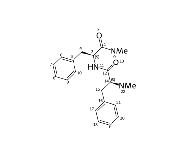 CNC(=O)[C@H](Cc1ccccc1)NC(=O)[C@H](Cc1ccccc1)NC